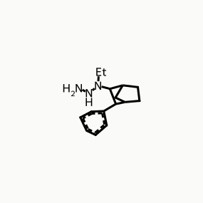 CCN(NN)C1C2CCC(C2)C1c1ccccc1